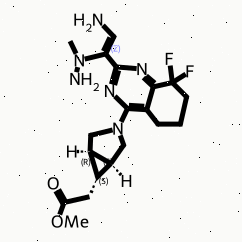 COC(=O)C[C@@H]1[C@H]2CN(c3nc(/C(=C/N)N(C)N)nc4c3CCCC4(F)F)C[C@@H]12